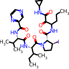 CCCC(NC(=O)[C@@H]1[C@@H](I)CCN1C(=O)[C@@H](NC(=O)[C@@H](NC(=O)c1cnccn1)C(C)C)C(C)CC)C(=O)C(=O)NC1CC1